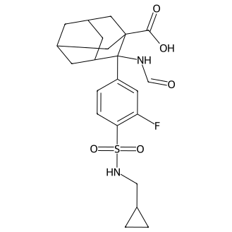 O=CNC1(c2ccc(S(=O)(=O)NCC3CC3)c(F)c2)C2CC3CC(C2)CC1(C(=O)O)C3